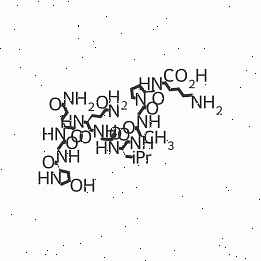 CC(C)C[C@H](NC(=O)CNC(=O)[C@H](CCC(N)=O)NC(=O)[C@H](CCC(N)=O)NC(=O)CNC(=O)[C@@H]1C[C@@H](O)CN1)C(=O)N[C@@H](C)C(=O)NCC(=O)N1CCC[C@H]1C(=O)N[C@@H](CCCCN)C(=O)O